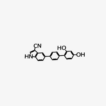 N#Cc1c[nH]c2ccc(-c3ccc(-c4ccc(O)cc4O)cc3)cc12